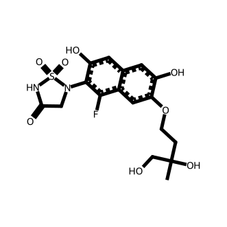 CC(O)(CO)CCOc1cc2c(F)c(N3CC(=O)NS3(=O)=O)c(O)cc2cc1O